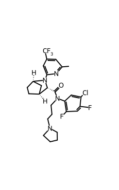 Cc1cc(C(F)(F)F)cc(N2[C@@H]3CC[C@@H](C3)[C@H]2C(=O)N(CCCN2CCCC2)c2cc(Cl)c(F)cc2F)n1